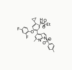 CCS(=O)(=O)Nc1cc(-c2cc(C)nc3c2ccn3S(=O)(=O)c2ccc(C)cc2)c(Oc2ccc(F)cc2F)cc1C1CC1